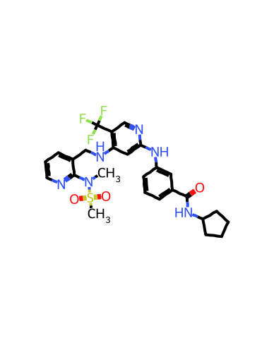 CN(c1ncccc1CNc1cc(Nc2cccc(C(=O)NC3CCCC3)c2)ncc1C(F)(F)F)S(C)(=O)=O